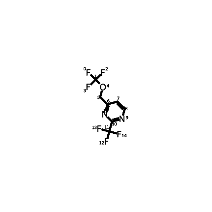 FC(F)(F)OCc1c[c]nc(C(F)(F)F)n1